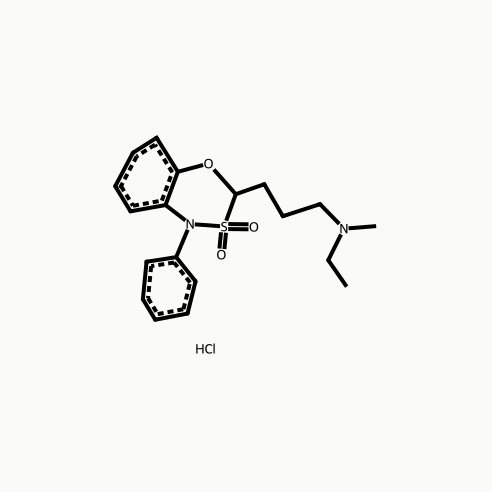 CCN(C)CCCC1Oc2ccccc2N(c2ccccc2)S1(=O)=O.Cl